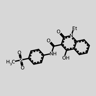 CCn1c(=O)c(C(=O)Nc2ccc(S(C)(=O)=O)cc2)c(O)c2ccccc21